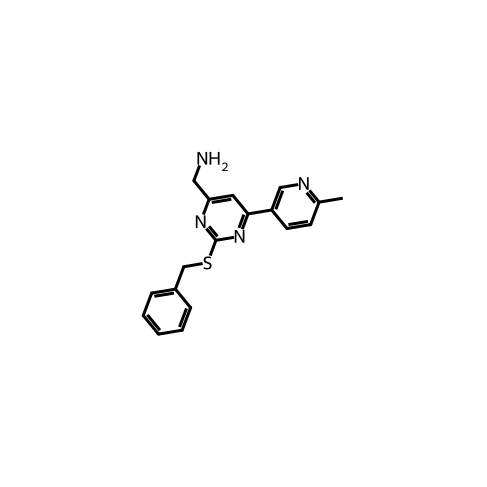 Cc1ccc(-c2cc(CN)nc(SCc3ccccc3)n2)cn1